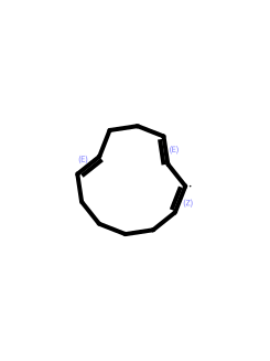 [C]1=C\CCCC/C=C/CC/C=C/1